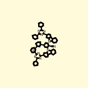 N#Cc1cccc(-c2cc(-n3c4ccccc4c4ccc(-c5nc(-c6ccccc6)nc(-c6ccccc6)n5)cc43)c(C#N)c(-n3c4ccccc4c4ccc(-c5nc(-c6ccccc6)nc(-c6ccccc6)n5)cc43)c2)c1